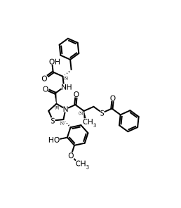 COc1cccc([C@@H]2SC[C@@H](C(=O)N[C@@H](Cc3ccccc3)C(=O)O)N2C(=O)[C@H](C)CSC(=O)c2ccccc2)c1O